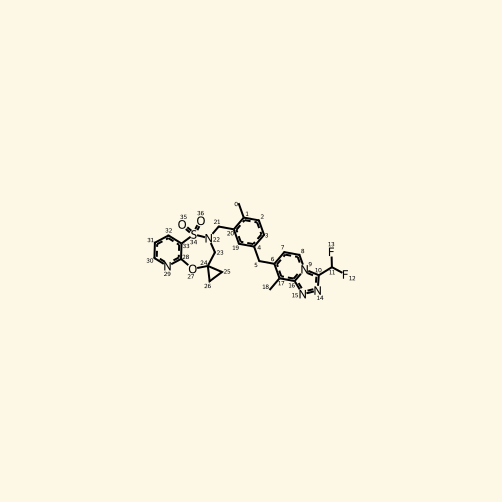 Cc1ccc(Cc2ccn3c(C(F)F)nnc3c2C)cc1CN1CC2(CC2)Oc2ncccc2S1(=O)=O